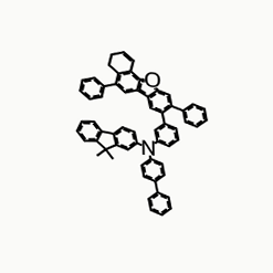 CC1(C)c2ccccc2-c2ccc(N(c3ccc(-c4ccccc4)cc3)c3cccc(-c4cc5c(cc4-c4ccccc4)oc4c6c(c(-c7ccccc7)cc45)CCC=C6)c3)cc21